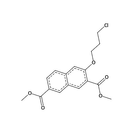 COC(=O)c1ccc2cc(OCCCCl)c(C(=O)OC)cc2c1